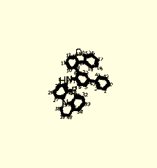 c1ccc(-c2cc3c(c(-c4cccc5oc6ccccc6c45)c2)Nc2cccc4c2B3c2cccc3c2N4CCC3)cc1